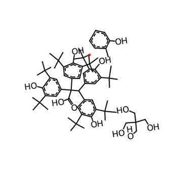 CC(C)(C)c1cc(C(c2cc(C(C)(C)C)c(O)c(C(C)(C)C)c2)C(C(=O)O)(c2cc(C(C)(C)C)c(O)c(C(C)(C)C)c2)c2cc(C(C)(C)C)c(O)c(C(C)(C)C)c2)cc(C(C)(C)C)c1O.Cc1ccccc1O.OCC(CO)(CO)CO